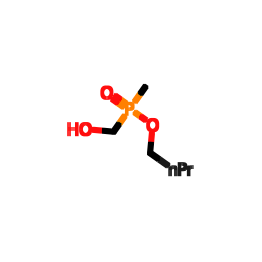 CCCCOP(C)(=O)CO